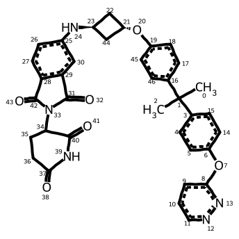 CC(C)(c1ccc(Oc2cccnn2)cc1)c1ccc(O[C@H]2C[C@H](Nc3ccc4c(c3)C(=O)N(C3CCC(=O)NC3=O)C4=O)C2)cc1